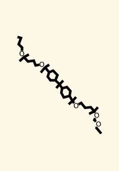 CCCCOC(C)(C)CCCOC(C)(C)C1CCC(C(C)(C)C2CCC(C(C)(C)OCCCC(C)(C)OCOCC)CC2)CC1